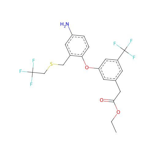 CCOC(=O)Cc1cc(Oc2ccc(N)cc2CSCC(F)(F)F)cc(C(F)(F)F)c1